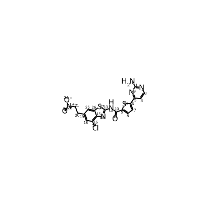 Nc1nccc(-c2ccc(C(=O)Nc3nc4c(Cl)cc(CC[N+](=O)[O-])cc4s3)s2)n1